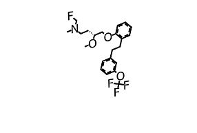 CO[C@H](CCN(C)CF)COc1ccccc1CCc1cccc(OC(F)(F)F)c1